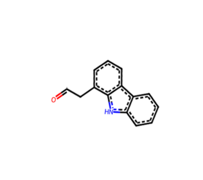 O=[C]Cc1cccc2c1[nH]c1ccccc12